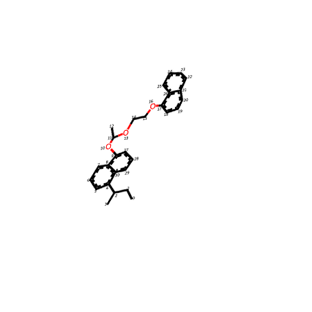 CCC(C)c1cccc2c(OC(C)OCCOc3cccc4ccccc34)cccc12